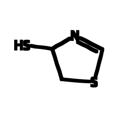 SC1CSC=N1